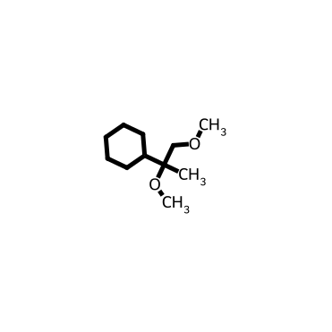 COCC(C)(OC)C1CCCCC1